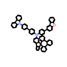 c1ccc2c(c1)-c1ccccc1C1(c3ccccc3-2)c2ccccc2-c2ccc(N(c3ccc(-c4ccc(-n5c6ccccc6c6ccccc65)cc4)cc3)c3ccc(-c4ccc5oc6ccccc6c5c4)cc3)cc21